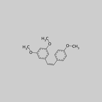 COc1ccc(/C=C\c2cc(OC)cc(OC)c2)cc1